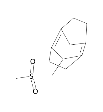 CS(=O)(=O)CC1C2=C3CCC(=C1CC2)C3